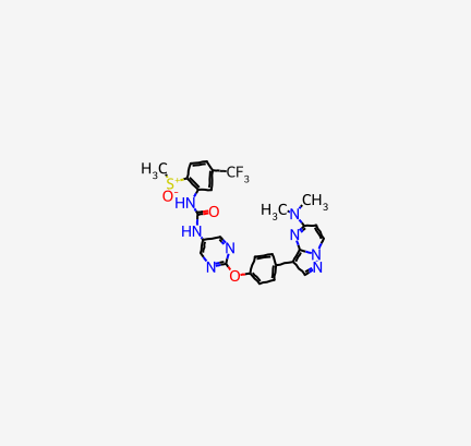 CN(C)c1ccn2ncc(-c3ccc(Oc4ncc(NC(=O)Nc5cc(C(F)(F)F)ccc5[S+](C)[O-])cn4)cc3)c2n1